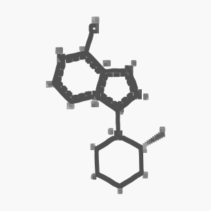 C[C@@H]1CCCCN1c1nnc2c(Cl)nccn12